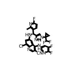 Cc1nc(F)ccc1[C@H](Nc1cc(Cl)c2ncc(C#N)c(Nc3cnc(F)c(F)c3)c2c1)c1cn(C2(C(F)F)CC2)nn1